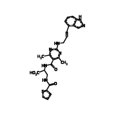 Cc1nc(NCC#Cc2cccc3[nH]ncc23)nc(C)c1C(=O)NC(CNC(=O)c1cccs1)C(=O)O